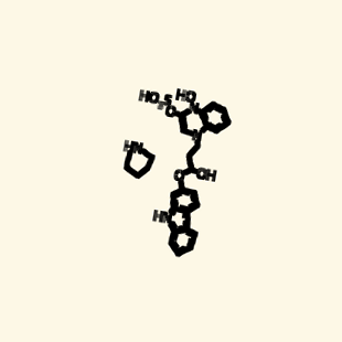 C1CCNCC1.O=S(=O)(O)OC1=CN(CCC(O)Oc2ccc3c(c2)[nH]c2ccccc23)c2ccccc2N1O